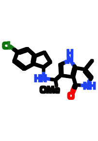 COC(NC1CCc2cc(Cl)ccc21)c1c[nH]c2c(C)c[nH]c(=O)c12